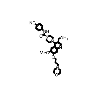 COc1cc2c(N3CCN(C(=O)Nc4ccc(C#N)cc4)CC3)c(CN)cnc2cc1OCCCN1CCOCC1